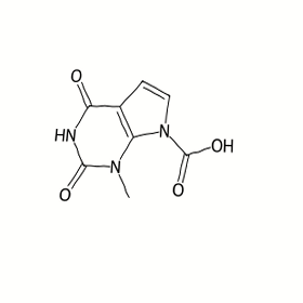 Cn1c(=O)[nH]c(=O)c2ccn(C(=O)O)c21